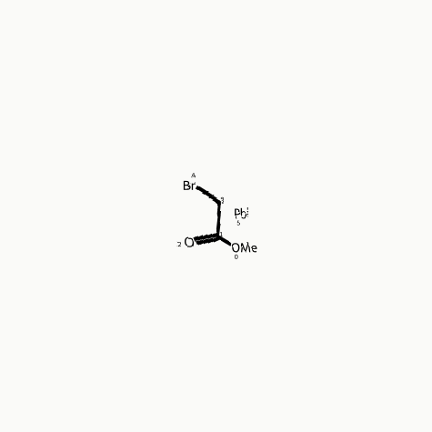 COC(=O)CBr.[Pb]